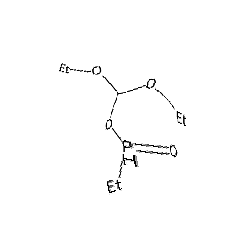 CCOC(OCC)O[PH](=O)CC